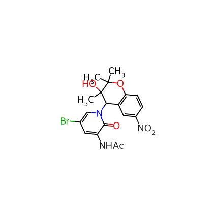 CC(=O)Nc1cc(Br)cn(C2c3cc([N+](=O)[O-])ccc3OC(C)(C)C2(C)O)c1=O